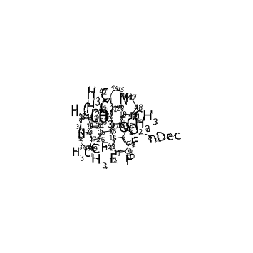 CCCCCCCCCCCCOC(=O)c1c(F)c(F)c(F)c(F)c1C1=c2cc3c4c(c2Oc2c1cc1c5c2C(C)(C)CCN5CCC1(C)C)C(C)(C)CC[N+]=4CCC3(C)C